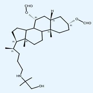 C[C@H](CCCNC(C)(C)CO)[C@H]1CCC2C3C(CC[C@@]21C)[C@@]1(C)CC[C@@H](OC=O)C[C@H]1C[C@H]3OC=O